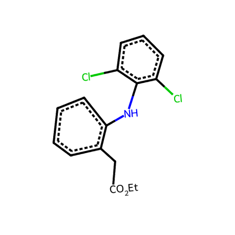 CCOC(=O)Cc1ccccc1Nc1c(Cl)cccc1Cl